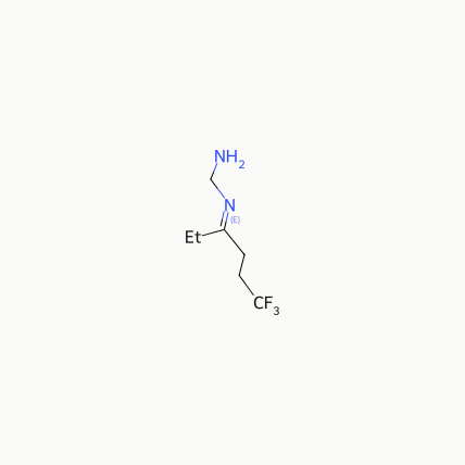 CC/C(CCC(F)(F)F)=N\CN